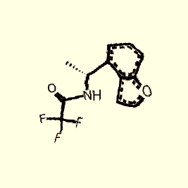 C[C@@H](NC(=O)C(F)(F)F)c1cccc2occc12